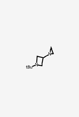 CC(C)(C)N1CC(N2CC2)C1